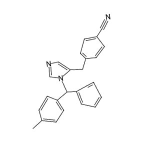 Cc1ccc(C(c2ccccc2)n2cncc2Cc2ccc(C#N)cc2)cc1